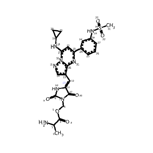 CC(N)C(=O)OCN1C(=O)N/C(=C\c2cnn3c(NC4CC4)cc(-c4cccc(NS(C)(=O)=O)c4)nc23)C1=O